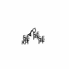 COCC1CC1.F[B-](F)(F)F.F[B-](F)(F)F.F[B-](F)(F)F.[KH]